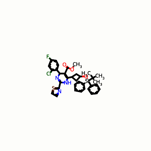 COC(=O)C1=C(C2CC(O[Si](c3ccccc3)(c3ccccc3)C(C)(C)C)C2)NC(c2nccs2)=NC1c1ccc(F)cc1Cl